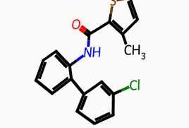 Cc1ccsc1C(=O)Nc1ccccc1-c1cccc(Cl)c1